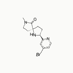 CN1CC[C@@]2(CC[C@@H](c3cc(Br)ccn3)N2)C1=O